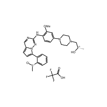 COc1cc(N2CCN(C[C@H](C)O)CC2)ccc1Nc1ncc2ccc(-c3ccccc3[S+](C)[O-])n2n1.O=C(O)C(F)(F)F